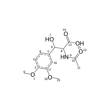 COc1ccc(C(O)C(NC(C)=O)C(=O)O)cc1OC